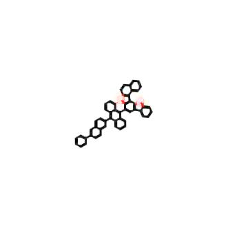 c1ccc(-c2ccc3cc(-c4c5ccccc5c(-c5cc6c7ccccc7oc6c6c5oc5ccc7ccccc7c56)c5ccccc45)ccc3c2)cc1